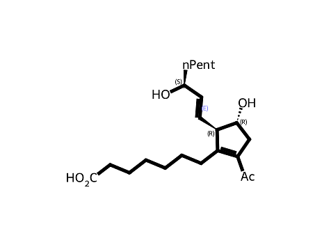 CCCCC[C@H](O)/C=C/[C@@H]1C(CCCCCCC(=O)O)=C(C(C)=O)C[C@H]1O